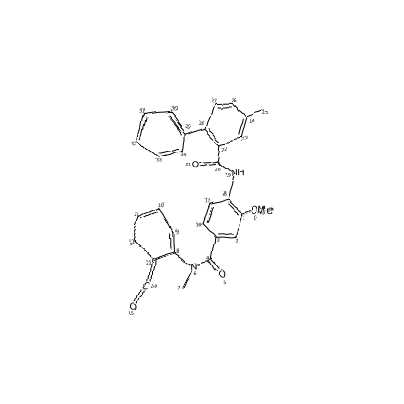 COc1cc(C(=O)N(C)C2=CC=CCC2=C=O)ccc1NC(=O)c1cc(C)ccc1-c1ccccc1